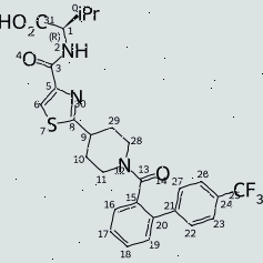 CC(C)[C@@H](NC(=O)c1csc(C2CCN(C(=O)c3ccccc3-c3ccc(C(F)(F)F)cc3)CC2)n1)C(=O)O